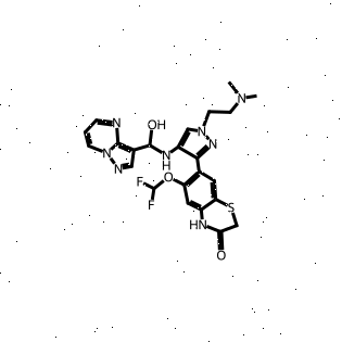 CN(C)CCn1cc(NC(O)c2cnn3cccnc23)c(-c2cc3c(cc2OC(F)F)NC(=O)CS3)n1